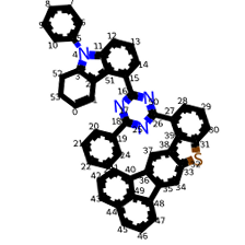 C1=Cc2c(n(-c3ccccc3)c3cccc(-c4nc(-c5ccccc5)nc(-c5cccc6sc7cc8c(cc7c56)-c5cccc6cccc-8c56)n4)c23)CC1